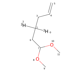 [2H]C([2H])(CC=C)CC(OC)OC